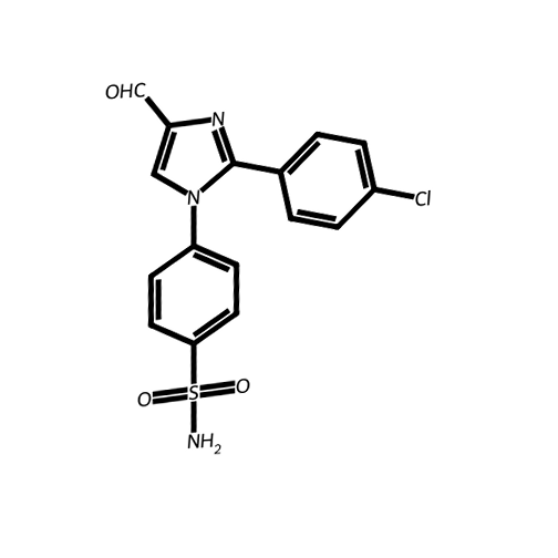 NS(=O)(=O)c1ccc(-n2cc(C=O)nc2-c2ccc(Cl)cc2)cc1